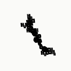 CC(C)(C)c1ccc(OCCn2ccc3c(C(=O)N4CCC5(CC4)CN/C(=C\C(=O)c4nc(Cl)c(N)nc4N)N5)cccc32)cc1